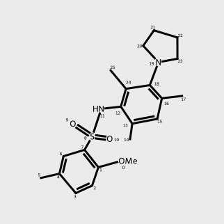 COc1ccc(C)cc1S(=O)(=O)Nc1c(C)cc(C)c(N2CCCC2)c1C